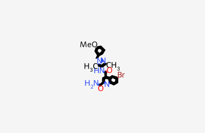 COc1cccc(Cn2nc(C)c(NC(=O)c3cc(C(N)=O)nc4ccc(Br)cc34)c2C)c1